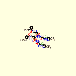 COc1cccc(C(=O)NCc2ccc(S(=O)(=O)NNC(=O)CCCNc3ncc(C(F)(F)F)cc3Cl)s2)c1.COc1ccccc1C(=O)NCc1ccc(S(=O)(=O)NNC(=O)CCCNc2ncc(C(F)(F)F)cc2Cl)s1